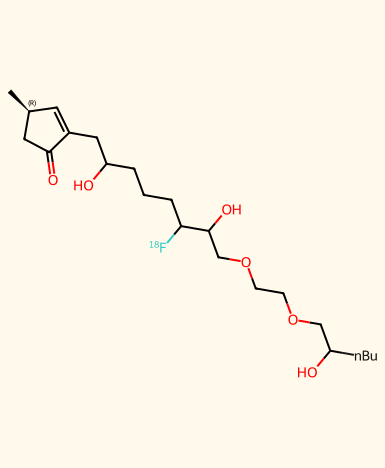 CCCCC(O)COCCOCC(O)C([18F])CCCC(O)CC1=C[C@H](C)CC1=O